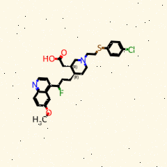 COc1ccc2nccc(C(F)CC[C@@H]3CCN(CCSc4ccc(Cl)cc4)C[C@@H]3CC(=O)O)c2c1